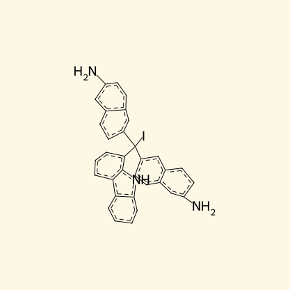 Nc1ccc2cc(C(I)(c3ccc4cc(N)ccc4c3)c3cccc4c3[nH]c3ccccc34)ccc2c1